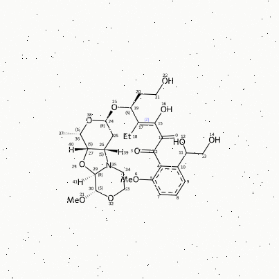 C=C(C(=O)c1c(OC)cccc1C(O)CO)/C(O)=C(\CC)[C@H](CCO)O[C@H]1C[C@H]2[C@H](O[C@@H]3[C@@H](OC)OCCN32)[C@H](C)O1